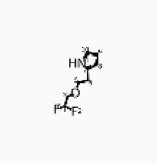 FC(F)COCCc1ccc[nH]1